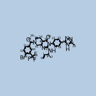 C=C[C@H](C)Nc1nc2c(c(=O)n1-c1ccc(-c3nnc(C)[nH]3)cc1)C[C@@H](C)N(C(=O)c1ccc(Br)c(C(F)(F)F)c1)C2